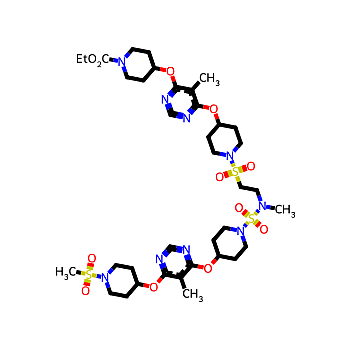 CCOC(=O)N1CCC(Oc2ncnc(OC3CCN(S(=O)(=O)CCN(C)S(=O)(=O)N4CCC(Oc5ncnc(OC6CCN(S(C)(=O)=O)CC6)c5C)CC4)CC3)c2C)CC1